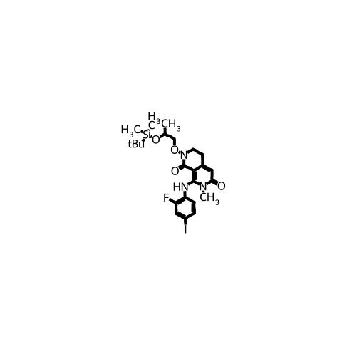 CC(CON1CCc2cc(=O)n(C)c(Nc3ccc(I)cc3F)c2C1=O)O[Si](C)(C)C(C)(C)C